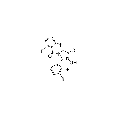 O=C1CN(C(=O)c2c(F)cccc2F)C(c2cccc(Br)c2F)N1O